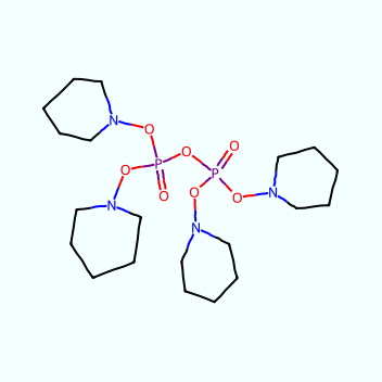 O=P(ON1CCCCC1)(ON1CCCCC1)OP(=O)(ON1CCCCC1)ON1CCCCC1